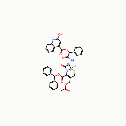 CC(=O)OCC1=C(C(=O)OC(c2ccccc2)c2ccccc2)N2C(=O)[C@H](NC(=O)C(OC(=O)c3cc(O)nc4ccccc34)c3ccccc3)[C@H]2SC1